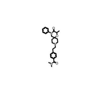 CC1OC2(CCN(CCc3ccc(C(=O)N(C)C)cc3)CC2)CN(c2ccccc2)C1=O